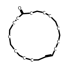 O=C1CCCCCCCCC/C=C/CCCCCCCCCC1